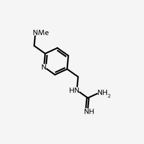 CNCc1ccc(CNC(=N)N)cn1